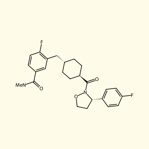 CNC(=O)c1ccc(F)c(C[C@H]2CC[C@H](C(=O)N3OCC[C@H]3c3ccc(F)cc3)CC2)c1